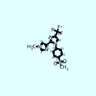 Cn1cnc(-c2nc(C(F)(F)F)cn2-c2ccc(S(C)(=O)=O)cc2)c1